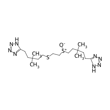 CC(C)(CCSCC[S+]([O-])CCC(C)(C)CCc1nnn[nH]1)CCc1nnn[nH]1